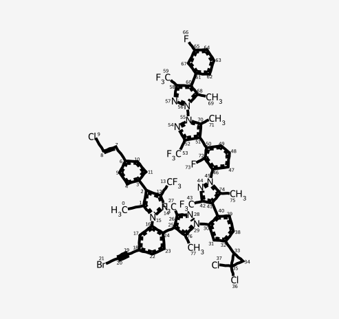 Cc1c(-c2ccc(C=CCl)cc2)c(C(F)(F)F)nn1-c1cc(C#CBr)ccc1-c1c(C(F)(F)F)nn(-c2cc(C3CC3(Cl)Cl)ccc2-c2c(C(F)(F)F)nn(-c3cccc(-c4c(C(F)(F)F)nn(-n5nc(C(F)(F)F)c(-c6cccc(F)c6)c5C)c4C)c3F)c2C)c1C